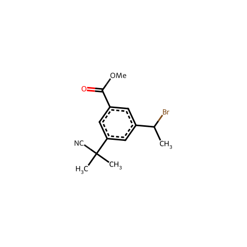 COC(=O)c1cc(C(C)Br)cc(C(C)(C)C#N)c1